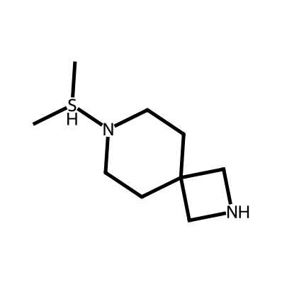 C[SH](C)N1CCC2(CC1)CNC2